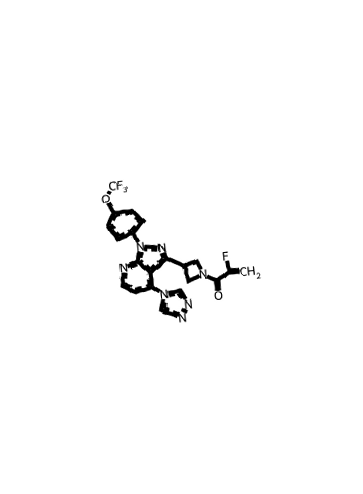 C=C(F)C(=O)N1CC(c2nn(-c3ccc(OC(F)(F)F)cc3)c3nccc(-n4cnnc4)c23)C1